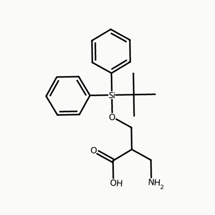 CC(C)(C)[Si](OCC(CN)C(=O)O)(c1ccccc1)c1ccccc1